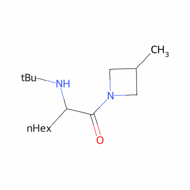 CCCCCCC(NC(C)(C)C)C(=O)N1CC(C)C1